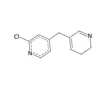 Clc1cc(CC2=CCCN=C2)ccn1